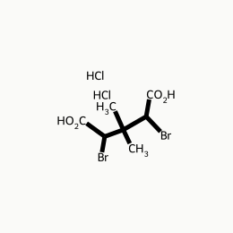 CC(C)(C(Br)C(=O)O)C(Br)C(=O)O.Cl.Cl